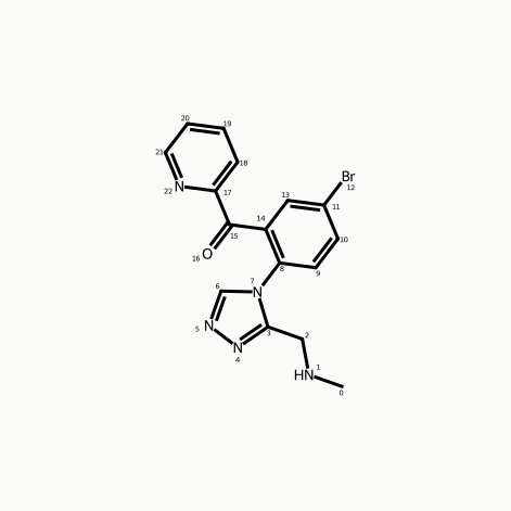 CNCc1nncn1-c1ccc(Br)cc1C(=O)c1ccccn1